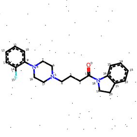 O=C(CCCN1CCN(c2ccccc2F)CC1)N1CCc2ccccc21